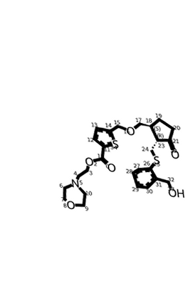 O=C(OCCN1CCOCC1)c1ccc(COC[C@H]2CCC(=O)[C@@H]2CSc2ccccc2CO)s1